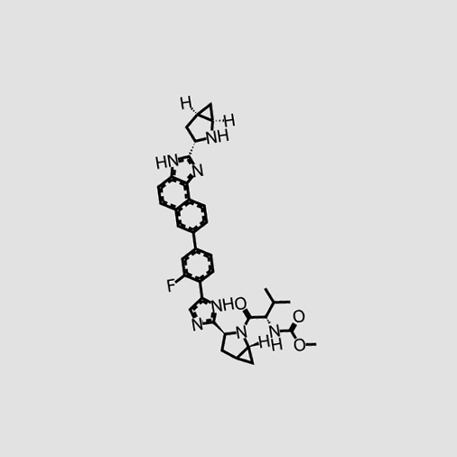 COC(=O)N[C@H](C(=O)N1[C@@H]2CC2C[C@H]1c1ncc(-c2ccc(-c3ccc4c(ccc5[nH]c([C@@H]6C[C@H]7C[C@H]7N6)nc54)c3)cc2F)[nH]1)C(C)C